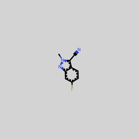 Cn1nc2cc(F)ccc2c1C#N